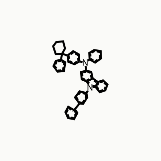 c1ccc(-c2ccc(-n3c4ccccc4c4cc(N(c5ccccc5)c5ccc(C6(c7ccccc7)CCCCC6)cc5)ccc43)cc2)cc1